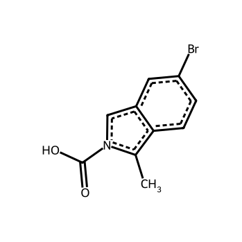 Cc1c2ccc(Br)cc2cn1C(=O)O